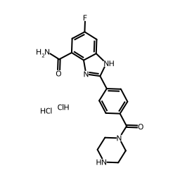 Cl.Cl.NC(=O)c1cc(F)cc2[nH]c(-c3ccc(C(=O)N4CCNCC4)cc3)nc12